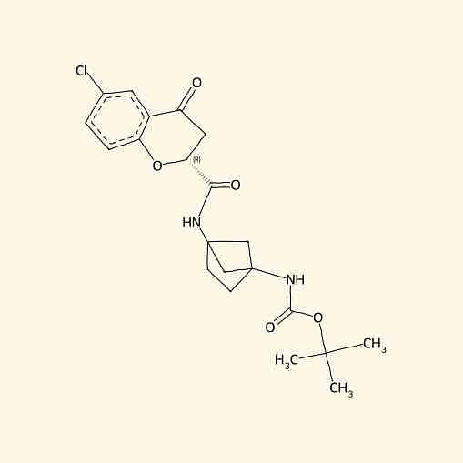 CC(C)(C)OC(=O)NC12CCC(NC(=O)[C@H]3CC(=O)c4cc(Cl)ccc4O3)(C1)C2